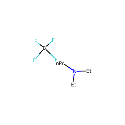 CCCN(CC)CC.F[B-](F)(F)F